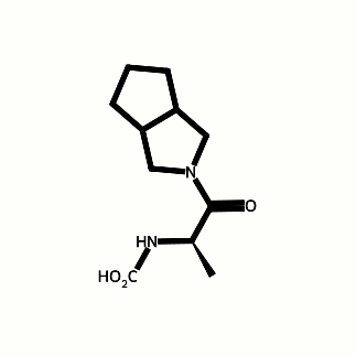 C[C@@H](NC(=O)O)C(=O)N1CC2CCCC2C1